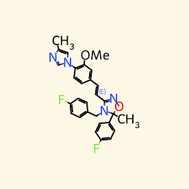 COc1cc(/C=C/C2=NOC(C)(c3ccc(F)cc3)N2Cc2ccc(F)cc2)ccc1-n1cnc(C)c1